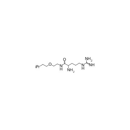 CC(C)CCOCCNC(=O)C(N)CCCNC(=N)N